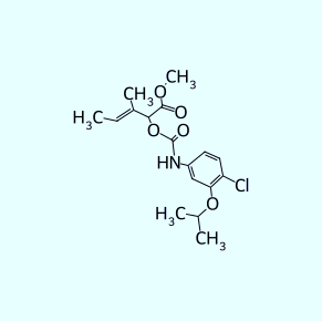 CC=C(C)C(OC(=O)Nc1ccc(Cl)c(OC(C)C)c1)C(=O)OC